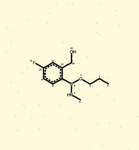 CCCOB(NC)c1ccc(F)cc1CO